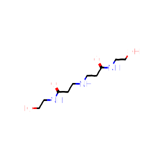 O=C(CCNCCC(=O)NCCO)NCCO